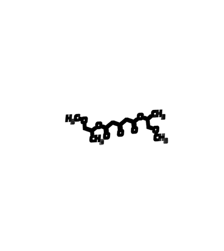 COCC(C)OC(=O)CC(=O)CC(=O)OC(C)COC